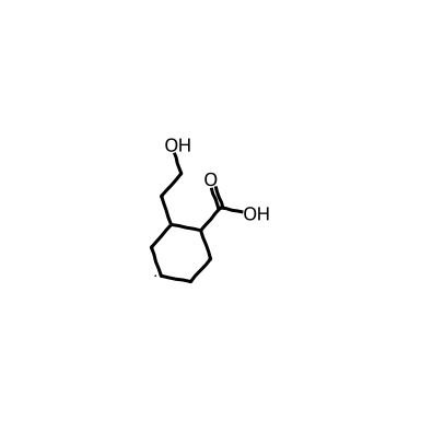 O=C(O)C1CC[CH]CC1CCO